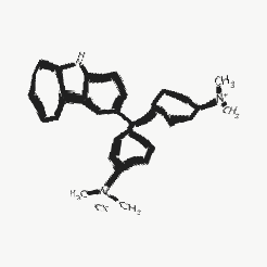 CN(C)c1ccc(C(=C2C=CC(=[N+](C)C)C=C2)c2ccc3[nH]c4ccccc4c3c2)cc1.[Cl-]